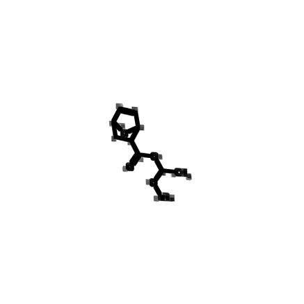 CCCCOC(C)OC(=O)C1CC2C=CC1O2